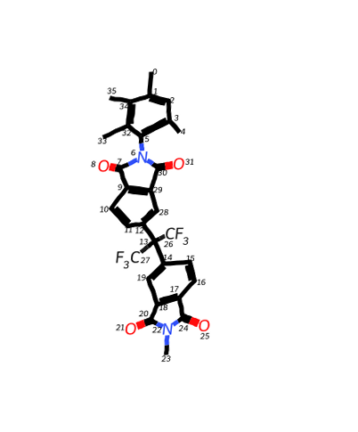 Cc1cc(C)c(N2C(=O)c3ccc(C(c4ccc5c(c4)C(=O)N(C)C5=O)(C(F)(F)F)C(F)(F)F)cc3C2=O)c(C)c1C